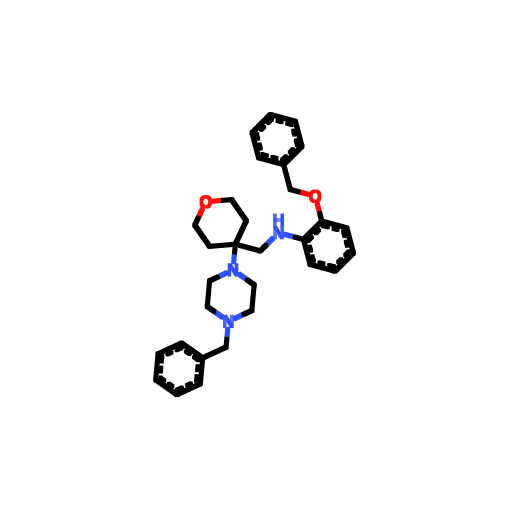 c1ccc(COc2ccccc2NCC2(N3CCN(Cc4ccccc4)CC3)CCOCC2)cc1